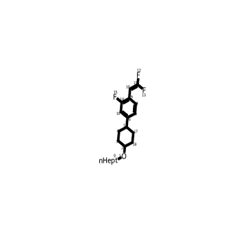 CCCCCCCOC1CCC(c2ccc(C=C(F)F)c(F)c2)CC1